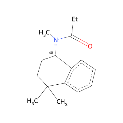 CCC(=O)N(C)[C@H]1CCC(C)(C)c2ccccc21